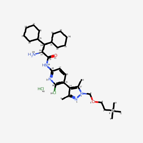 Cc1nn(COCC[Si](C)(C)C)c(C)c1-c1ccc(NC(=O)[C@@H](N)C(C2CCCCC2)C2CCCCC2)nc1Cl.Cl